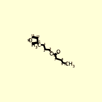 CCCCOC(=O)CCCC.c1ccoc1